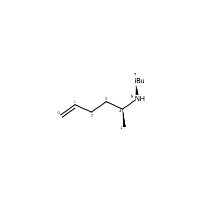 C=CCC[C@H](C)N[C@H](C)CC